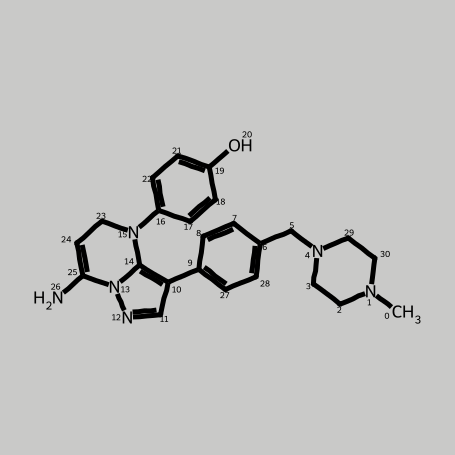 CN1CCN(Cc2ccc(-c3cnn4c3N(c3ccc(O)cc3)CC=C4N)cc2)CC1